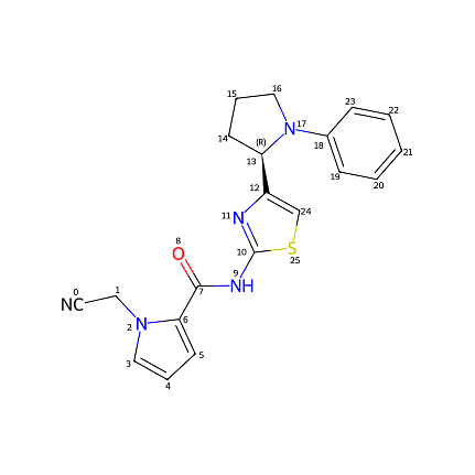 N#CCn1cccc1C(=O)Nc1nc([C@H]2CCCN2c2ccccc2)cs1